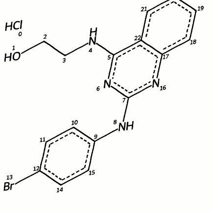 Cl.OCCNc1nc(Nc2ccc(Br)cc2)nc2ccccc12